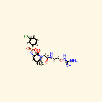 Cc1ccc(NS(=O)(=O)c2cccc(Cl)c2)c(=O)n1CC(=O)NCCONC(=N)N